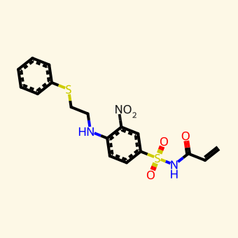 C=CC(=O)NS(=O)(=O)c1ccc(NCCSc2ccccc2)c([N+](=O)[O-])c1